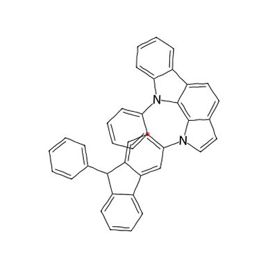 c1ccc(C2c3ccccc3-c3cc(-n4ccc5ccc6c7ccccc7n(-c7ccccc7)c6c54)ccc32)cc1